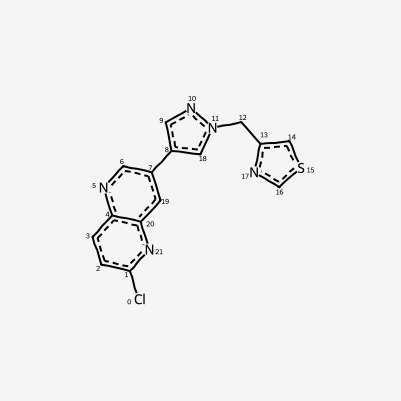 Clc1ccc2ncc(-c3cnn(Cc4cscn4)c3)cc2n1